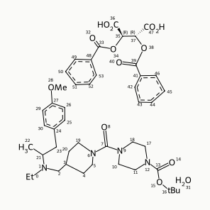 CCN(CC1CCN(C(=O)N2CCN(C(=O)OC(C)(C)C)CC2)CC1)C(C)Cc1ccc(OC)cc1.O.O=C(O[C@@H](C(=O)O)[C@@H](OC(=O)c1ccccc1)C(=O)O)c1ccccc1